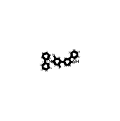 Cc1cc(-n2c3ccccc3c3ccccc32)c(C)cc1-c1ccc2[nH]c3ccccc3c2c1